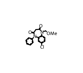 COCN1C(=O)CC(=O)N(c2ccccc2)c2cc(Cl)ccc21